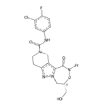 CCN1O[C@H](CO)Cn2nc3c(c2C1=O)CN(C(=O)Nc1ccc(F)c(Cl)c1)CC3